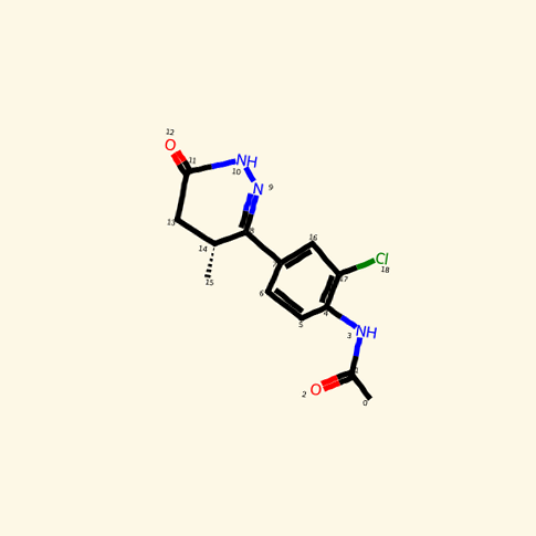 CC(=O)Nc1ccc(C2=NNC(=O)C[C@H]2C)cc1Cl